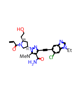 C=CC(=O)N1C[C@@H](n2nc(C#Cc3cc4ncn(CC)c4cc3Cl)c(C(N)=O)c2NC)C[C@@H]1CCO